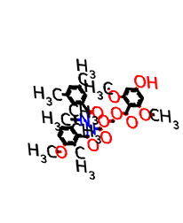 COc1cccc(C(=O)N(C(=O)OCOC(=O)c2c(OC)cc(O)cc2OC)N(C(=O)c2cc(C)cc(C)c2)C(C)(C)C)c1C